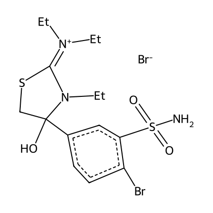 CCN1C(=[N+](CC)CC)SCC1(O)c1ccc(Br)c(S(N)(=O)=O)c1.[Br-]